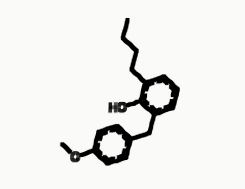 CCCCc1cccc(Cc2ccc(OC)cc2)c1O